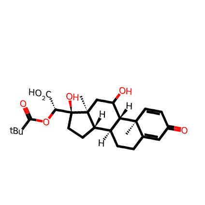 CC(C)(C)C(=O)O[C@H](C(=O)O)[C@@]1(O)CC[C@H]2[C@@H]3CCC4=CC(=O)C=C[C@]4(C)[C@H]3C(O)C[C@@]21C